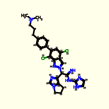 CN(C)CCCc1ccc(-c2cc(Cl)c3cn(C(C(=N)Nc4ncc[nH]4)c4ncn5c4CCC5)nc3c2Cl)cc1